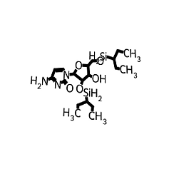 CCC(CC)[SiH2]OCC1OC(n2ccc(N)nc2=O)C(O[SiH2]C(CC)CC)C1O